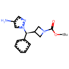 CC(C)(C)OC(=O)N1CC([C@@H](c2ccccc2)n2cc(N)cn2)C1